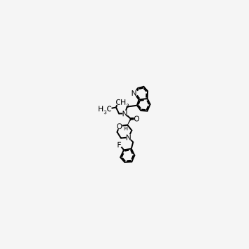 CC(C)CN(Cc1cccc2cccnc12)C(=O)[C@H]1CN(Cc2ccccc2F)CCO1